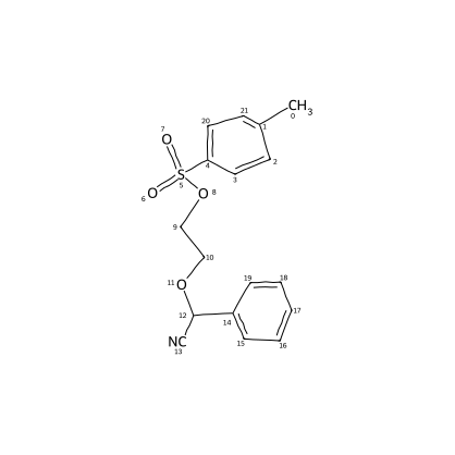 Cc1ccc(S(=O)(=O)OCCOC(C#N)c2ccccc2)cc1